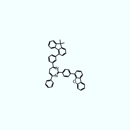 CC1(C)c2ccccc2-c2c(-c3cccc(C4=NC(c5ccc(-c6cccc7c6oc6ccccc67)cc5)=NC(c5ccccc5)=CC4)c3)cccc21